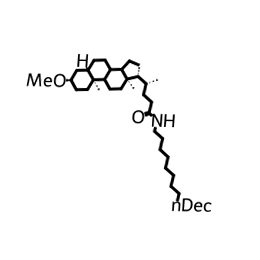 CCCCCCCCCCCCCCCCCCNC(=O)CC[C@@H](C)[C@H]1CCC2C3CC[C@@H]4C[C@H](OC)CC[C@]4(C)C3CC[C@@]21C